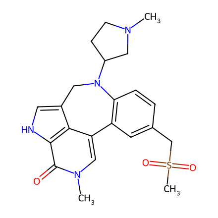 CN1CCC(N2Cc3c[nH]c4c(=O)n(C)cc(c34)-c3cc(CS(C)(=O)=O)ccc32)C1